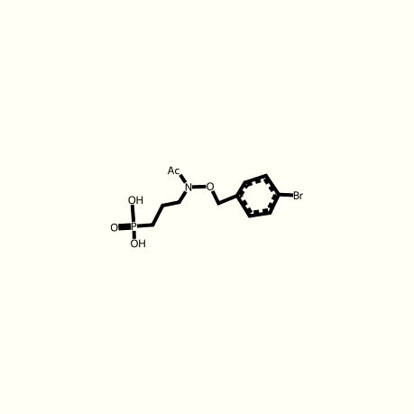 CC(=O)N(CCCP(=O)(O)O)OCc1ccc(Br)cc1